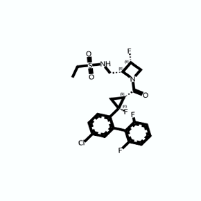 CCS(=O)(=O)NC[C@@H]1[C@H](F)CN1C(=O)[C@H]1C[C@]1(F)c1ccc(Cl)cc1-c1c(F)cccc1F